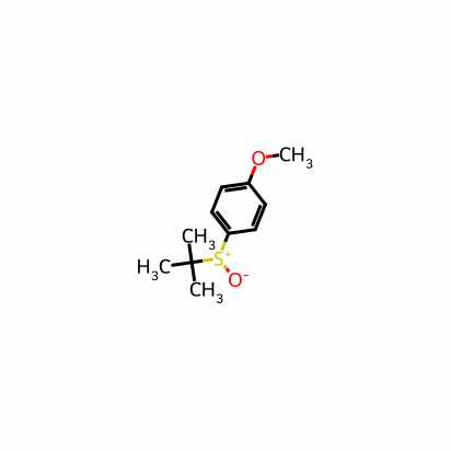 COc1ccc([S+]([O-])C(C)(C)C)cc1